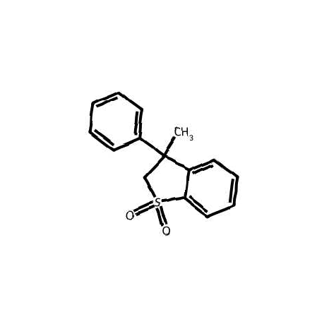 CC1(c2ccccc2)CS(=O)(=O)c2ccccc21